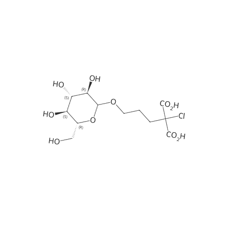 O=C(O)C(Cl)(CCCOC1O[C@H](CO)[C@@H](O)[C@H](O)[C@H]1O)C(=O)O